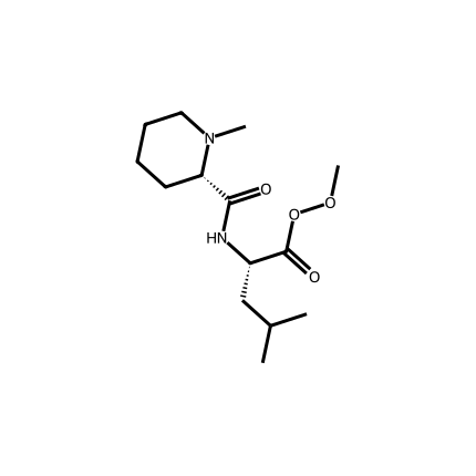 COOC(=O)[C@H](CC(C)C)NC(=O)[C@@H]1CCCCN1C